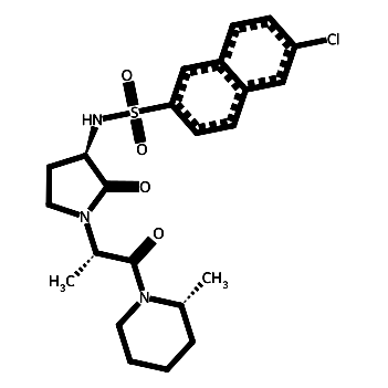 C[C@@H]1CCCCN1C(=O)[C@H](C)N1CC[C@@H](NS(=O)(=O)c2ccc3cc(Cl)ccc3c2)C1=O